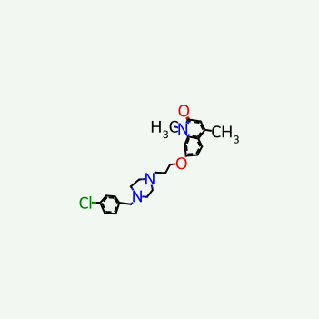 Cc1cc(=O)n(C)c2cc(OCCCN3CCN(Cc4ccc(Cl)cc4)CC3)ccc12